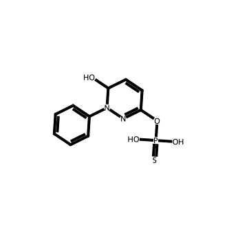 OC1C=CC(OP(O)(O)=S)=NN1c1ccccc1